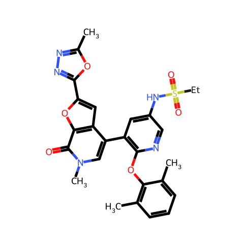 CCS(=O)(=O)Nc1cnc(Oc2c(C)cccc2C)c(-c2cn(C)c(=O)c3oc(-c4nnc(C)o4)cc23)c1